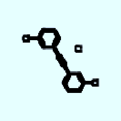 Clc1cccc(C#Cc2cccc(Cl)c2)c1.[C]